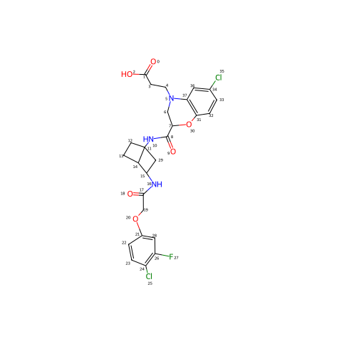 O=C(O)CCN1CC(C(=O)NC23CCC2C(NC(=O)COc2ccc(Cl)c(F)c2)C3)Oc2ccc(Cl)cc21